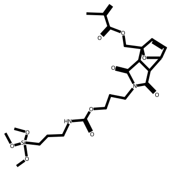 C=C(C)C(=O)OCC12C=CC(O1)C1C(=O)N(CCCOC(=O)NCCC[Si](OC)(OC)OC)C(=O)C12